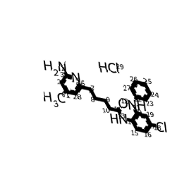 Cc1cc(N)nc(CCCCC(=O)Nc2ccc(Cl)cc2Nc2ccccc2)c1.Cl